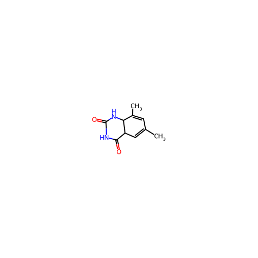 CC1=CC2C(=O)NC(=O)NC2C(C)=C1